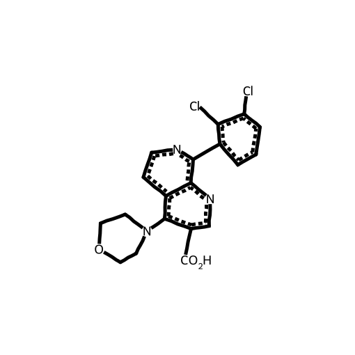 O=C(O)c1cnc2c(-c3cccc(Cl)c3Cl)nccc2c1N1CCOCC1